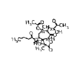 CCCC(=O)O[C@H]1C[C@](C)(OC(C)=O)[C@@H](C[C@H](O)C(C)=O)C(=O)[C@@H]2OC(=O)[C@@](C)(O)[C@@]12O